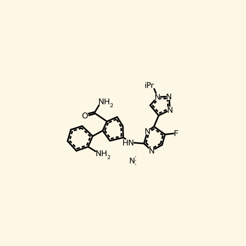 CC(C)n1cc(-c2nc(Nc3ccc(C(N)=O)c(-c4ccccc4N)c3)ncc2F)nn1.[N]